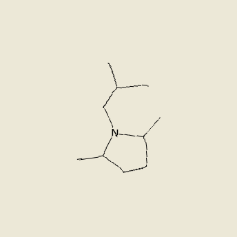 CC(C)CN1C(C)CCC1C